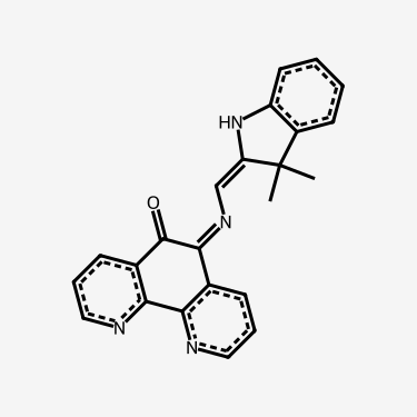 CC1(C)/C(=C\N=C2/C(=O)c3cccnc3-c3ncccc32)Nc2ccccc21